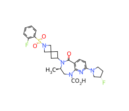 C[C@@H]1CN(C(=O)O)c2nc(N3CC[C@H](F)C3)ccc2C(=O)N1C1CC2(C1)CN(S(=O)(=O)c1ccccc1F)C2